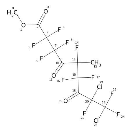 COC(=O)C(F)(F)C(F)(F)C(=O)C(C)(F)C(F)(F)C(=O)C(F)(Cl)C(F)(F)Cl